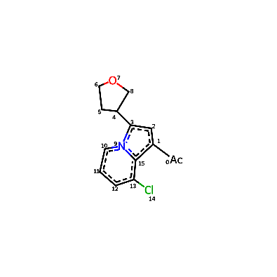 CC(=O)c1cc(C2CCOC2)n2cccc(Cl)c12